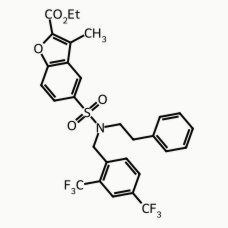 CCOC(=O)c1oc2ccc(S(=O)(=O)N(CCc3ccccc3)Cc3ccc(C(F)(F)F)cc3C(F)(F)F)cc2c1C